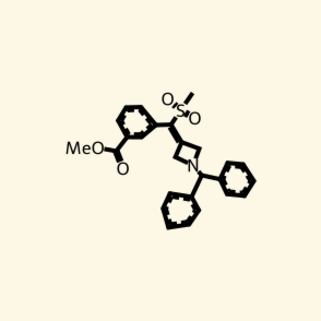 COC(=O)c1cccc(C(=C2CN(C(c3ccccc3)c3ccccc3)C2)S(C)(=O)=O)c1